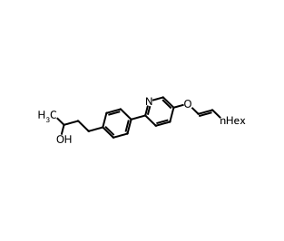 CCCCCCC=COc1ccc(-c2ccc(CCC(C)O)cc2)nc1